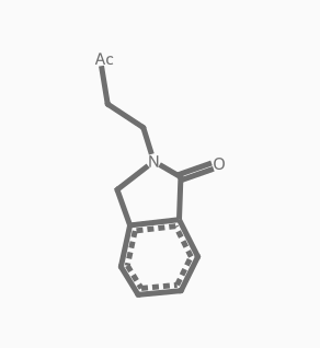 CC(=O)CCN1Cc2ccccc2C1=O